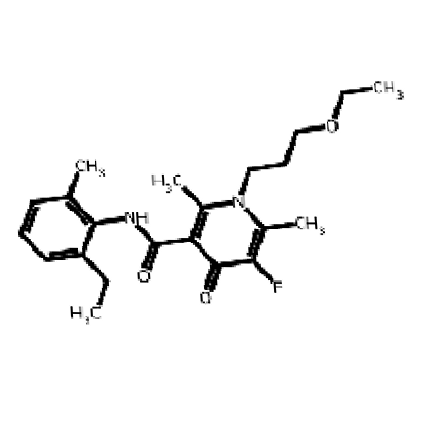 CCOCCCn1c(C)c(F)c(=O)c(C(=O)Nc2c(C)cccc2CC)c1C